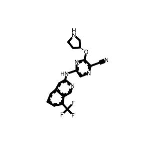 N#Cc1ncc(Nc2cc3cccc(C(F)(F)F)c3cn2)nc1O[C@@H]1CCNC1